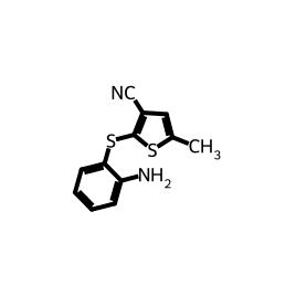 Cc1cc(C#N)c(Sc2ccccc2N)s1